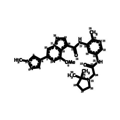 COc1nc(-c2cnn(C)c2)cn2ncc(C(=O)Nc3cc(NC(=O)CN4CCCC4(C)C)cnc3C)c12